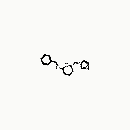 c1ccc(CO[C@@H]2CCC[C@H](Cn3ccnc3)O2)cc1